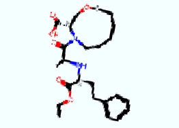 CCOC(=O)[C@H](CCc1ccccc1)NC(C)C(=O)N1CCCCCCOC[C@H]1C(=O)O